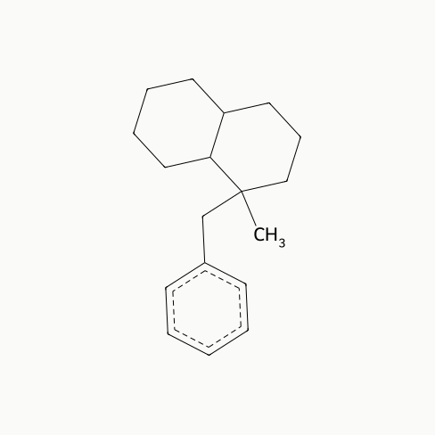 CC1(Cc2ccccc2)CCCC2CCCCC21